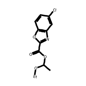 CCOC(C)OC(=O)c1nc2cc(Cl)ccc2o1